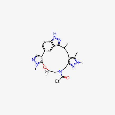 CCC(=O)N1Cc2nn(C)c(C)c2CC(C)c2n[nH]c3ccc(cc23)-c2cnn(C)c2O[C@@H](C)C1